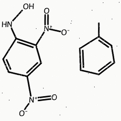 Cc1ccccc1.O=[N+]([O-])c1ccc(NO)c([N+](=O)[O-])c1